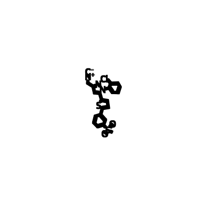 [C-]#[N+]Cc1cc(-c2ccc(-c3cccc(S(C)(=O)=O)c3)s2)n(-c2ccccc2Cl)n1